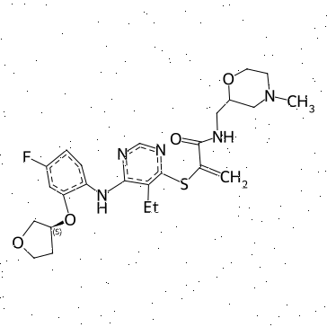 C=C(Sc1ncnc(Nc2ccc(F)cc2O[C@H]2CCOC2)c1CC)C(=O)NCC1CN(C)CCO1